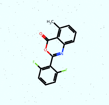 Cc1cccc2nc(-c3c(F)cccc3F)oc(=O)c12